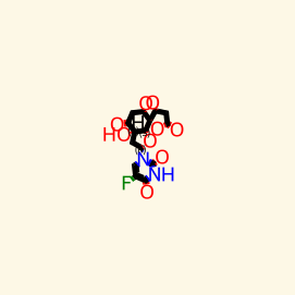 O=C1CC(=O)C2(O1)C(=O)CC(=O)[C@]1(O)C[C@H](n3cc(F)c(=O)[nH]c3=O)O[C@H]21